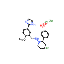 COc1ccc(-c2ncc[nH]2)cc1CNN1CCCCC1c1ccccc1.Cl.Cl.Cl.O.O